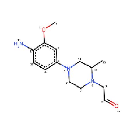 COc1cc(N2CCN(CC=O)C(C)C2)ccc1N